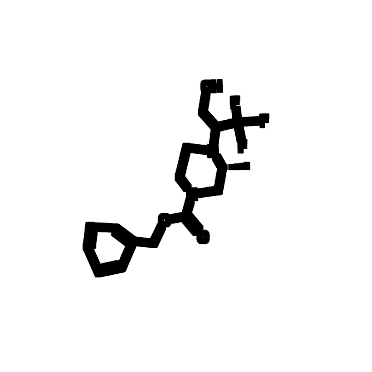 C[C@@H]1CN(C(=O)OCc2ccccc2)CCN1C(CO)C(F)(F)F